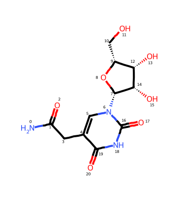 NC(=O)Cc1cn([C@@H]2O[C@H](CO)[C@H](O)[C@@H]2O)c(=O)[nH]c1=O